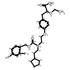 CCOC(Cc1ccc(OCCN(CCC2CCCC2)C(=O)OCc2ccc(F)cc2F)cc1)C(=O)O